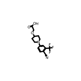 N#Cc1ccc(N2CCC(OCC(=O)O)CC2)cc1C(F)(F)F